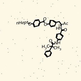 CCCCCCCOc1ccc(C(=O)Oc2ccc(C[C@H](NC(=O)c3ccc(NC(=O)C(C)(C)c4ccccc4)cc3)C(C)=O)cc2)cc1